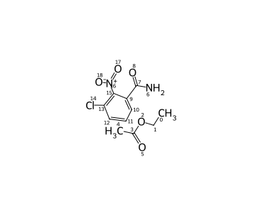 CCOC(C)=O.NC(=O)c1cccc(Cl)c1[N+](=O)[O-]